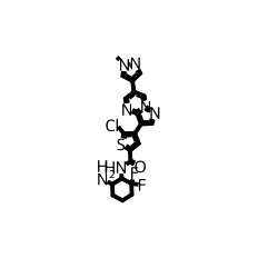 Cn1cc(-c2cnc3c(-c4cc(C(=O)NC5C(N)CCCC5(F)F)sc4Cl)cnn3c2)cn1